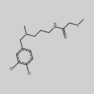 CSCC(=O)NCCCN(C)Cc1ccc(Cl)c(Cl)c1